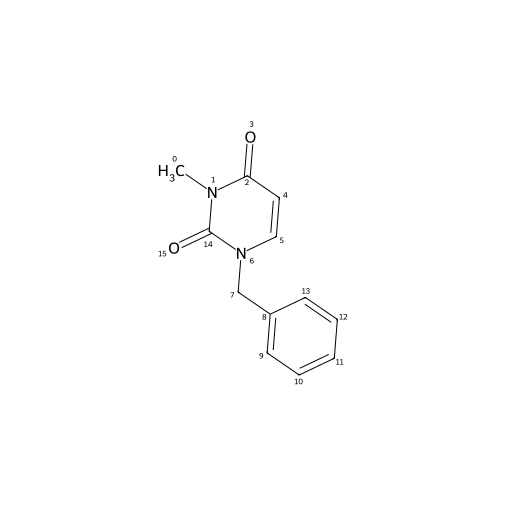 Cn1c(=O)ccn(Cc2ccccc2)c1=O